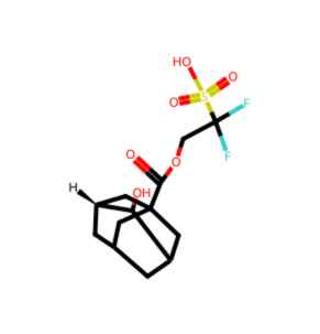 O=C(OCC(F)(F)S(=O)(=O)O)C12CC3CC(C1)C(O)[C@H](C3)C2